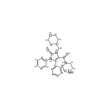 O=C(c1c(-c2ccccc2)n(-c2ccccc2)c(=O)n1CC1CCOCC1)N1CCNCC1